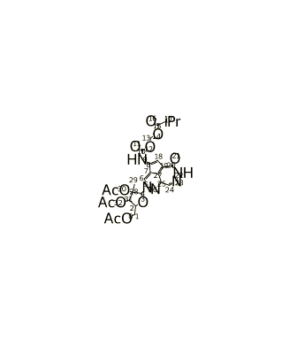 CC(=O)OCC1OC(n2cc3c(NC(=O)OCOC(=O)C(C)C)cc4c(=O)[nH]ncc(n2)c34)C(C)(OC(C)=O)C1OC(C)=O